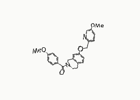 COc1ccc(C(=O)N2CCc3ccc(OCc4ccc(OC)cn4)cc3C2)cc1